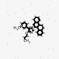 C1=Cc2c(ccc3c2CCc2ccccc2-3)CC1.CCCOc1nsnc1C1=CC=CN(C)C1